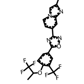 Cc1cn2ccc(-c3noc(-c4ccc(OC(C)C(F)(F)F)c(C(F)(F)F)c4)n3)cc2n1